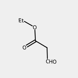 CCOC(=O)CC=O